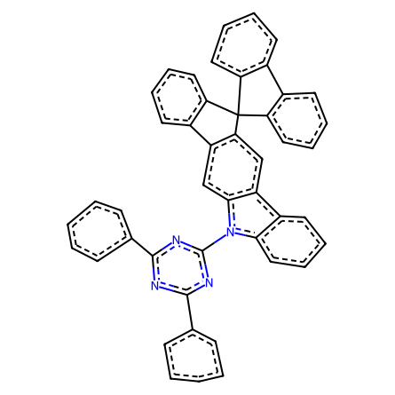 c1ccc(-c2nc(-c3ccccc3)nc(-n3c4ccccc4c4cc5c(cc43)-c3ccccc3C53c4ccccc4-c4ccccc43)n2)cc1